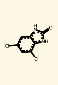 O=c1[nH]c2cc(Cl)cc(Cl)c2[nH]1